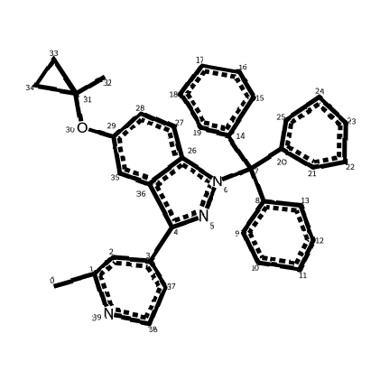 Cc1cc(-c2nn(C(c3ccccc3)(c3ccccc3)c3ccccc3)c3ccc(OC4(C)CC4)cc23)ccn1